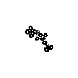 c1ccc(-c2nc(-c3ccc(-n4c5ccccc5c5ccccc54)cc3)nc(-c3ccccc3-c3ccc4c(c3)Oc3ccc5c(c3O4)-c3ccccc3C5(c3ccccc3)c3ccccc3)n2)cc1